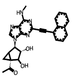 CNc1nc(C#Cc2cccc3ccccc23)nc2c1ncn2[C@@H]1C2C[C@]2(C(C)=O)C(O)[C@H]1O